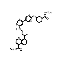 CNC(=O)c1ccnc2c(C(C)CCNc3cc(-c4cnc(OC5CCCN(C(=O)OC(C)(C)C)C5)nc4)ncn3)cccc12